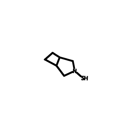 SN1CC2CCC2C1